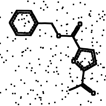 CC(=O)c1ccc(C(=O)OCc2ccccc2)o1